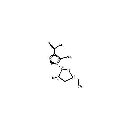 NC(=O)c1nnn([C@@H]2O[C@H](CO)C[C@@H]2O)c1N